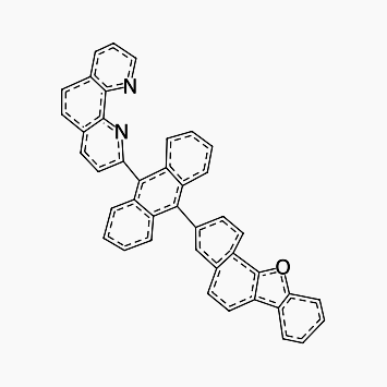 c1cnc2c(c1)ccc1ccc(-c3c4ccccc4c(-c4ccc5c(ccc6c7ccccc7oc56)c4)c4ccccc34)nc12